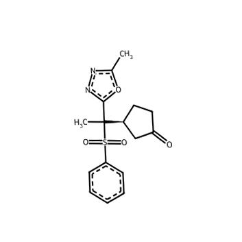 Cc1nnc(C(C)([C@H]2CCC(=O)C2)S(=O)(=O)c2ccccc2)o1